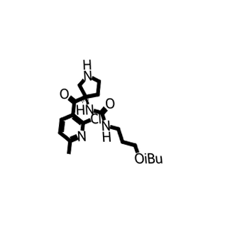 Cc1ccc(C(=O)[C@@]2(NC(=O)NCCCOCC(C)C)CCNC2)c(Cl)n1